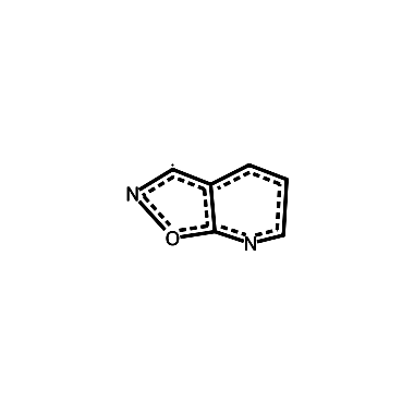 [c]1noc2ncccc12